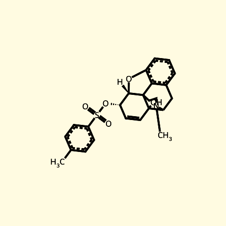 Cc1ccc(S(=O)(=O)O[C@H]2C=CC3(O)C4Cc5cccc6c5C3(CCN4C)[C@H]2O6)cc1